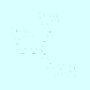 CCCCCCCC1(CCCCCC)c2ccccc2-c2ccc(-c3cccc(-c4ccc(N(c5ccc(-c6cccc(-c7ccc8c(c7)C(CCCCCC)(CCCCCCC)c7ccccc7-8)c6)cc5)c5ccc(-c6cccc(-c7ccc8c(c7)C(CCCCCCC)(CCCCCCC)c7ccccc7-8)c6)cc5)cc4)c3)cc21